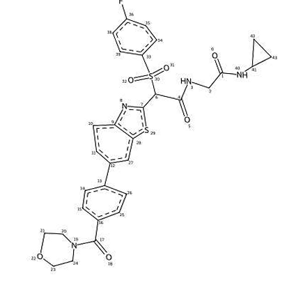 O=C(CNC(=O)C(c1nc2ccc(-c3ccc(C(=O)N4CCOCC4)cc3)cc2s1)S(=O)(=O)c1ccc(F)cc1)NC1CC1